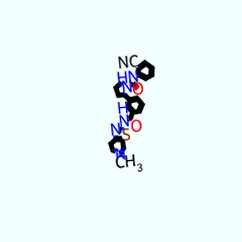 CN1CCc2nc(NC(=O)c3cccc(C4CCCN4C(=O)Nc4ccccc4C#N)c3)sc2C1